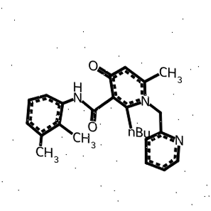 CCCCc1c(C(=O)Nc2cccc(C)c2C)c(=O)cc(C)n1Cc1ccccn1